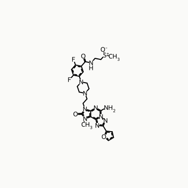 Cn1c(=O)n(CCN2CCN(c3cc(C(=O)NCC[S@+](C)[O-])c(F)cc3F)CC2)c2nc(N)n3nc(-c4ccco4)nc3c21